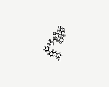 CCc1nc2c(cnn2CC)c(NC2CCOCC2)c1CNC(=O)CCC(=O)NCc1ccc(F)c(-c2cccc(CN3CCNCC3)c2)c1